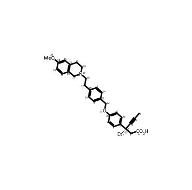 CC#C[C@@](CC)(CC(=O)O)c1ccc(OCc2ccc(CCN3CCc4cc(OC)ccc4C3)cc2)cc1